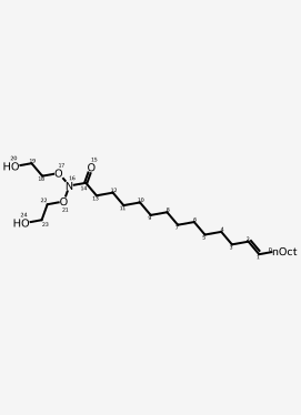 CCCCCCCCC=CCCCCCCCCCCCC(=O)N(OCCO)OCCO